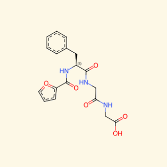 O=C(O)CNC(=O)CNC(=O)[C@H](Cc1ccccc1)NC(=O)c1ccco1